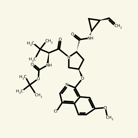 C=C[C@@H]1C[C@H]1NC(=O)[C@@H]1C[C@@H](Oc2ncc(Cl)c3ccc(OC)cc23)CN1C(=O)[C@@H](NC(=O)OC(C)(C)C)C(C)(C)C